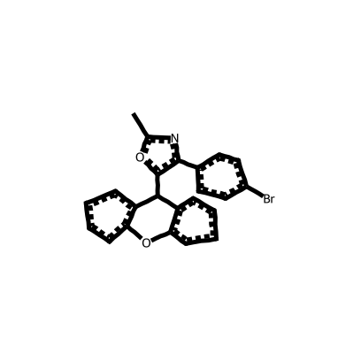 Cc1nc(-c2ccc(Br)cc2)c(C2c3ccccc3Oc3ccccc32)o1